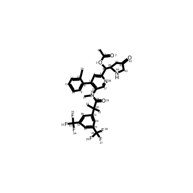 CC(=O)OC(c1cc(-c2ccccc2C)c(N(C)C(=O)C(C)(C)c2cc(C(F)(F)F)cc(C(F)(F)F)c2)cn1)C1CC(=O)CN1